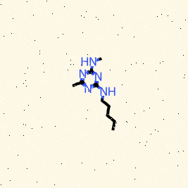 CCCCCNc1nc(C)nc(NC)n1